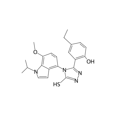 CCc1ccc(O)c(-c2nnc(S)n2-c2ccc(OC)c3c2ccn3C(C)C)c1